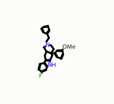 COc1cccc(C23CCN(CCc4ccccc4)CC2Cc2c([nH]c4cc(F)ccc24)C3)c1